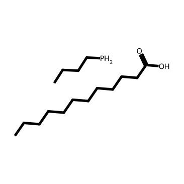 CCCCCCCCCCCC(=O)O.CCCCP